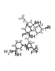 N#Cc1cccc(C(N)(CCC2CC2)c2ccc(F)c(NCc3cc(C(F)(F)F)nn3-c3cccc(C(=N)N)c3)c2)c1